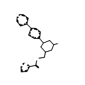 O=C(NCC1CC(C(=O)O)CC(c2ccc(-c3ccncc3)cc2)C1)c1ccsn1